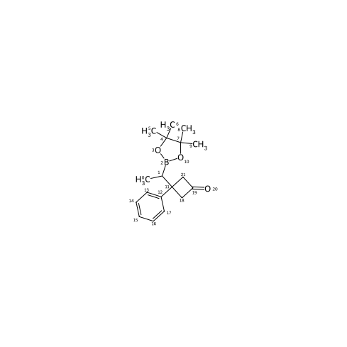 CC(B1OC(C)(C)C(C)(C)O1)C1(c2ccccc2)CC(=O)C1